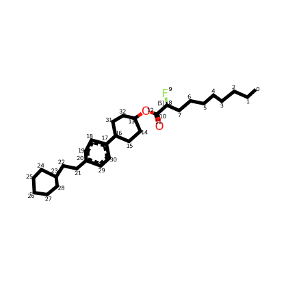 CCCCCCCC[C@H](F)C(=O)OC1CCC(c2ccc(CCC3CC[CH]CC3)cc2)CC1